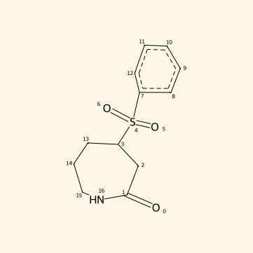 O=C1CC(S(=O)(=O)c2ccccc2)CCCN1